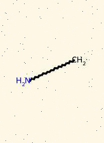 [CH2]CCCCCCCCCCCCCCCCCCCCCCCN